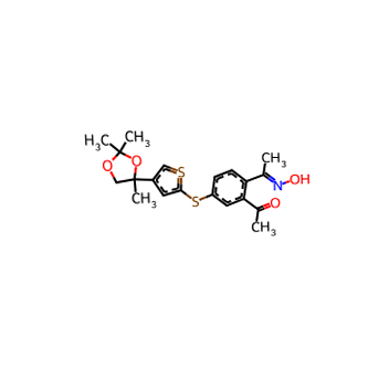 CC(=O)c1cc(Sc2cc(C3(C)COC(C)(C)O3)cs2)ccc1/C(C)=N/O